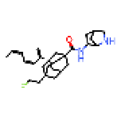 C=C(/C=C\C=C/C)[C@]12CC3CC(C(=O)NC4CC5CNC4C5)(C[C@](CCF)(C3)C1)C2